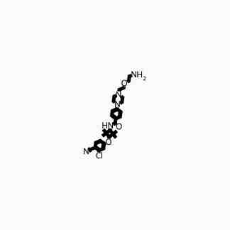 CC1(C)C(NC(=O)c2ccc(N3CCN(CCOCCN)CC3)cc2)C(C)(C)C1Oc1ccc(C#N)c(Cl)c1